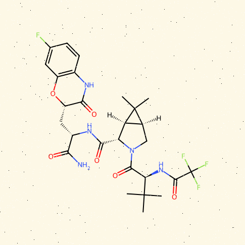 CC(C)(C)[C@H](NC(=O)C(F)(F)F)C(=O)N1C[C@H]2[C@@H]([C@H]1C(=O)N[C@@H](C[C@@H]1Oc3cc(F)ccc3NC1=O)C(N)=O)C2(C)C